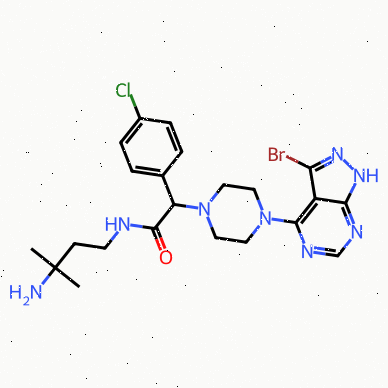 CC(C)(N)CCNC(=O)C(c1ccc(Cl)cc1)N1CCN(c2ncnc3[nH]nc(Br)c23)CC1